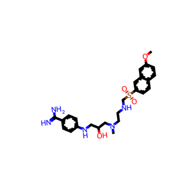 COc1ccc2ccc(S(=O)(=O)CNCCN(C)CC(O)CNc3ccc(C(=N)N)cc3)cc2c1